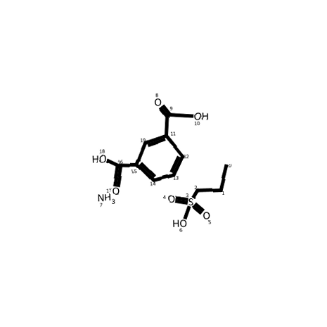 CCCS(=O)(=O)O.N.O=C(O)c1cccc(C(=O)O)c1